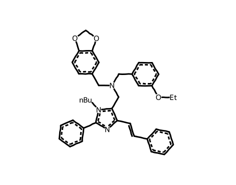 CCCCn1c(-c2ccccc2)nc(C=Cc2ccccc2)c1CN(Cc1cccc(OCC)c1)Cc1ccc2c(c1)OCO2